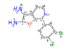 Nc1oc2c(-c3ccc(F)c(Br)c3)nccc2c1N